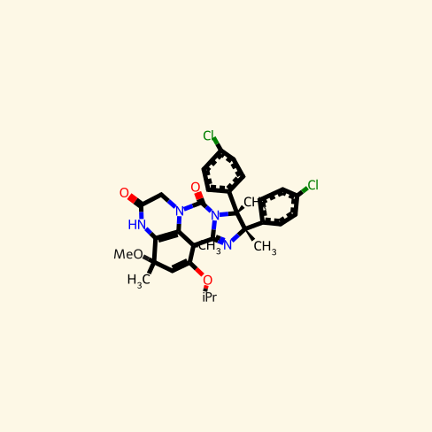 COC1(C)C=C(OC(C)C)C2(C)C3=N[C@@](C)(c4ccc(Cl)cc4)[C@@](C)(c4ccc(Cl)cc4)N3C(=O)N3CC(=O)NC1=C32